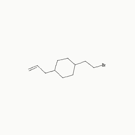 C=CCC1CCC(CCBr)CC1